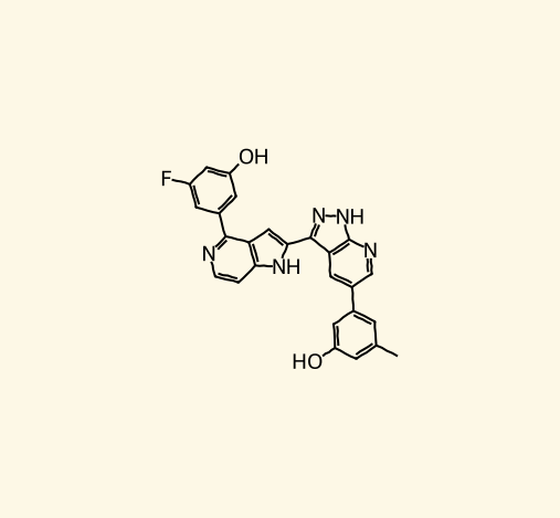 Cc1cc(O)cc(-c2cnc3[nH]nc(-c4cc5c(-c6cc(O)cc(F)c6)nccc5[nH]4)c3c2)c1